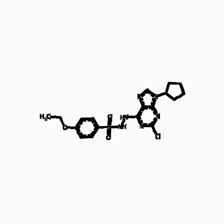 CCOc1ccc(S(=O)(=O)NNc2nc(Cl)nc3c2ncn3C2CCCC2)cc1